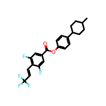 CC1CCC(c2ccc(OC(=O)c3cc(F)c(/C=C/C(F)(F)F)c(F)c3)cc2)CC1